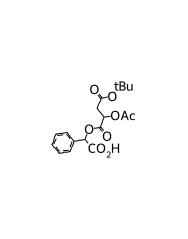 CC(=O)OC(CC(=O)OC(C)(C)C)C(=O)OC(C(=O)O)c1ccccc1